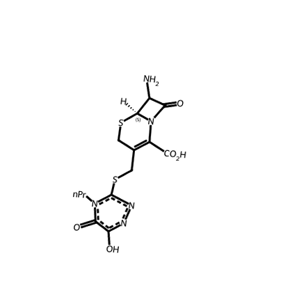 CCCn1c(SCC2=C(C(=O)O)N3C(=O)C(N)[C@@H]3SC2)nnc(O)c1=O